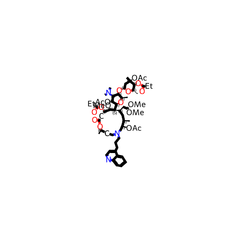 CCC(=O)O[C@@H]1CC(=O)O[C@H](C)CCN(CCCc2ccnc3ccccc23)C[C@H](OC(C)=O)[C@H](C)C[C@H](CC(OC)OC)[C@H]([C@@H]2O[C@H](C)[C@@H](O[C@@H]3C[C@@](C)(OC(C)=O)[C@@H](OC(=O)CC)[C@H](C)O3)[C@H](N(C)C)[C@H]2OC(C)=O)[C@@H]1OC